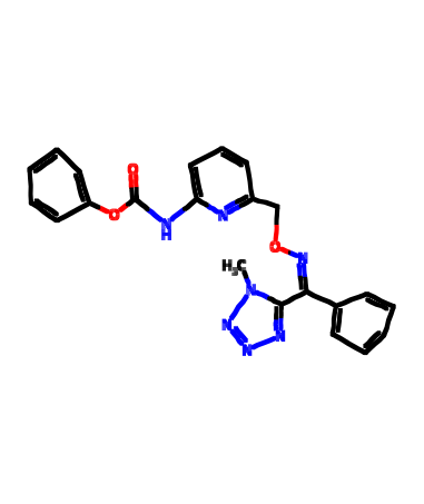 Cn1nnnc1/C(=N\OCc1cccc(NC(=O)Oc2ccccc2)n1)c1ccccc1